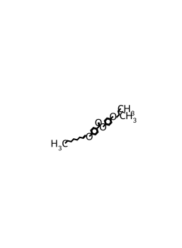 CCCCCCC=COc1ccc(C(=O)Oc2ccc(OCC(C)CC)cc2)cc1